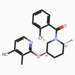 Cc1c(C#N)ccnc1O[C@@H]1CC[C@@H](C)N(C(=O)c2ccccc2C(F)(F)F)C1